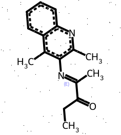 CCC(=O)/C(C)=N/c1c(C)nc2ccccc2c1C